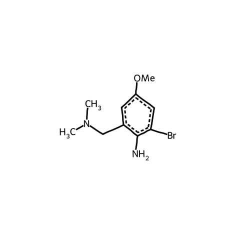 COc1cc(Br)c(N)c(CN(C)C)c1